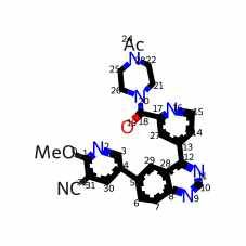 COc1ncc(-c2ccc3ncnc(-c4ccnc(C(=O)N5CCN(C(C)=O)CC5)c4)c3c2)cc1C#N